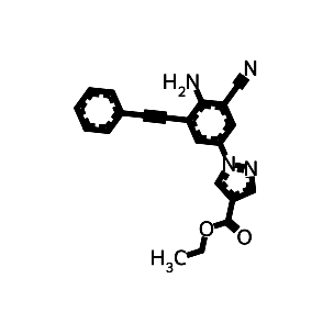 CCOC(=O)c1cnn(-c2cc(C#N)c(N)c(C#Cc3ccccc3)c2)c1